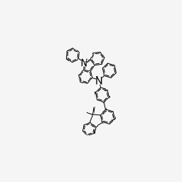 CC1(C)c2ccccc2-c2cccc(-c3ccc(N(c4ccccc4)c4cccc5c4c4ccccc4n5-c4ccccc4)cc3)c21